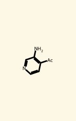 CC(=O)c1ccncc1N